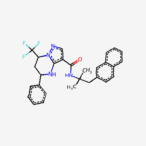 CC(C)(Cc1ccc2ccccc2c1)NC(=O)c1cnn2c1NC(c1ccccc1)CC2C(F)(F)F